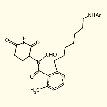 CC(=O)NCCCCCCCc1cccc(C)c1C(=O)N(C=O)C1CCC(=O)NC1=O